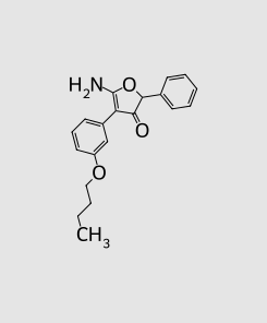 CCCCOc1cccc(C2=C(N)OC(c3ccccc3)C2=O)c1